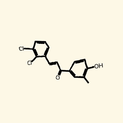 Cc1cc(C(=O)C=Cc2cccc(Cl)c2Cl)ccc1O